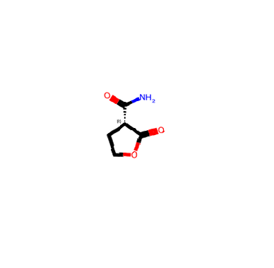 NC(=O)[C@H]1CCOC1=O